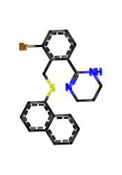 Brc1cccc(C2=NCCCN2)c1CSc1cccc2ccccc12